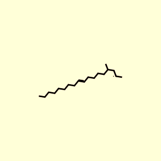 C[CH]CC(C)CCCCC=CCCCCCCCC